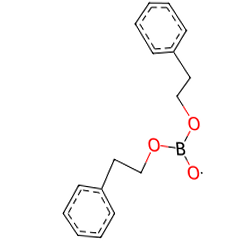 [O]B(OCCc1ccccc1)OCCc1ccccc1